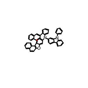 c1ccc(-n2c3ccccc3c3ccc(N(c4ccc5c(c4)oc4ccc6ccccc6c45)c4ccccc4-c4ccc5ccccc5c4)cc32)cc1